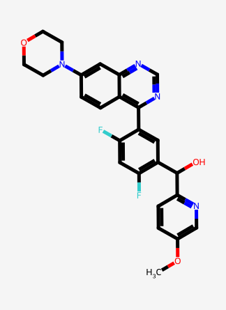 COc1ccc(C(O)c2cc(-c3ncnc4cc(N5CCOCC5)ccc34)c(F)cc2F)nc1